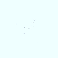 CCCCCCC(CC)C(=O)OC(=O)CCC(=Nc1ccc([N+](=O)[O-])cc1C)OC(=O)C(CC)CCCCCC